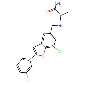 CC(NCc1cc(Cl)c2oc(-c3cccc(F)c3)cc2c1)C(N)=O